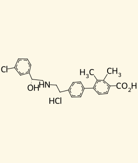 Cc1c(C(=O)O)ccc(-c2ccc(CCNC[C@H](O)c3cccc(Cl)c3)cc2)c1C.Cl